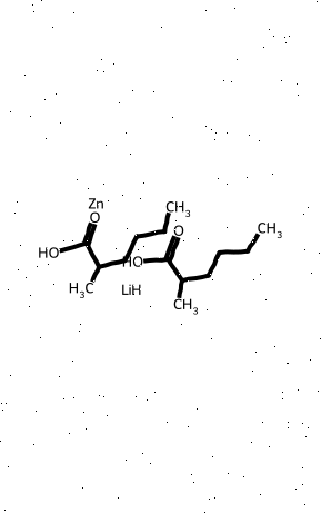 CCCCC(C)C(=O)O.CCCCC(C)C(=O)O.[LiH].[Zn]